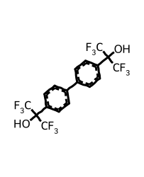 OC(c1ccc(-c2ccc(C(O)(C(F)(F)F)C(F)(F)F)cc2)cc1)(C(F)(F)F)C(F)(F)F